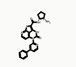 N[C@H]1CCC[C@H]1NC(=O)c1sc2nccc3c2c1NC(=O)N3c1cc(-c2ccccc2)ccn1